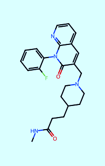 CNC(=O)CCC1CCN(Cc2cc3cccnc3n(-c3ccccc3F)c2=O)CC1